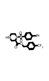 CC(C)c1ccc(S(=O)(=O)N2CCNCC2C(=O)OCc2ccc(C(F)(F)F)cc2)cc1